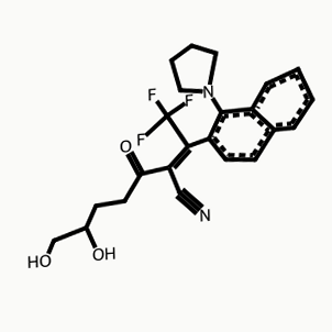 N#C/C(C(=O)CCC(O)CO)=C(\c1ccc2ccccc2c1N1CCCC1)C(F)(F)F